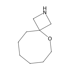 C1CCCC2(CNC2)OCC1